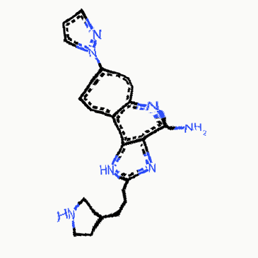 Nc1nc2cc(-n3cccn3)ccc2c2[nH]c(CC3CCNC3)nc12